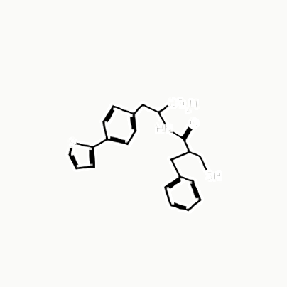 O=C(NC(Cc1ccc(-c2cccs2)cc1)C(=O)O)C(CS)Cc1ccccc1